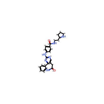 O=C1Cc2cnc(Nc3ccc(C(=O)NCCC4CCCN4)cc3)nc2-c2ccccc2N1